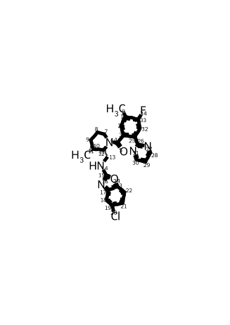 Cc1cc(C(=O)N2CCC[C@@H](C)[C@H]2CNc2nc3cc(Cl)ccc3o2)c(-c2ncccn2)cc1F